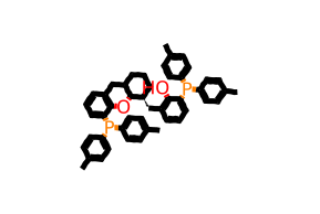 Cc1ccc(P(c2ccc(C)cc2)c2cccc(C[C@H]3CCCC4Cc5cccc(P(c6ccc(C)cc6)c6ccc(C)cc6)c5OC43)c2O)cc1